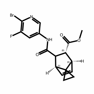 COC(=O)[C@H]1C(C(=O)Nc2cnc(Br)c(F)c2)[C@@H]2C=C[C@H]1C21CC1